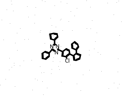 Clc1cc(-c2nc(-c3ccccc3)nc(-c3ccccc3)n2)ccc1-c1ccccc1-c1ccccc1